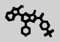 CCc1nc2ccccc2n1-c1nc(N2CCOCC2)c2nc(C(=O)N3CCN(S(C)(=O)=O)CC3)n(C)c2n1